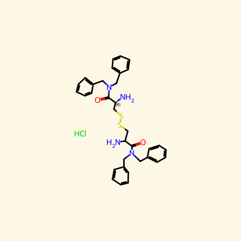 Cl.NC(CSSC[C@H](N)C(=O)N(Cc1ccccc1)Cc1ccccc1)C(=O)N(Cc1ccccc1)Cc1ccccc1